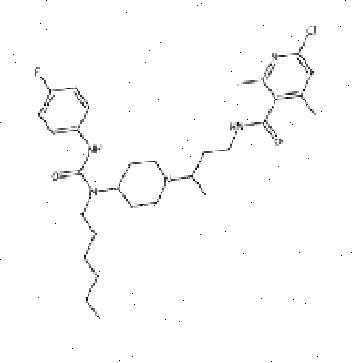 CCCCCCN(C(=O)Nc1ccc(F)cc1)C1CCN(C(C)CCNC(=O)c2c(C)cc(Cl)nc2C)CC1